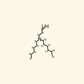 [CH2]CCN(CCCCCC)CCCCCC.[LiH]